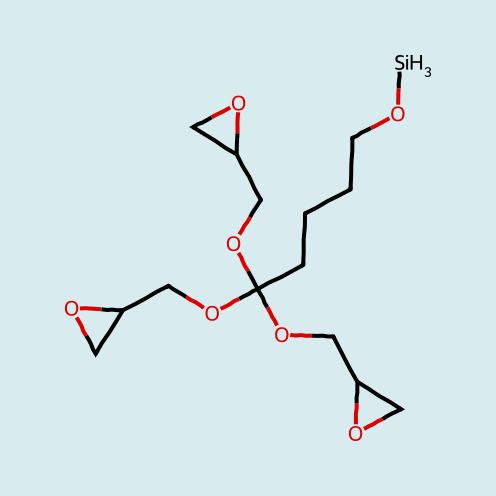 [SiH3]OCCCCC(OCC1CO1)(OCC1CO1)OCC1CO1